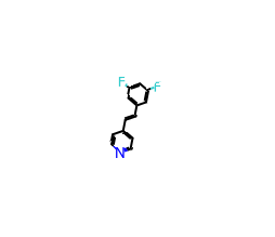 Fc1cc(F)cc(/C=C/c2ccncc2)c1